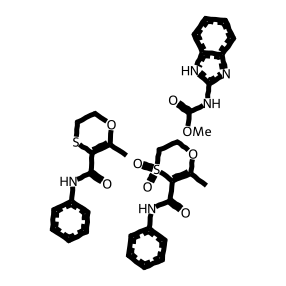 CC1=C(C(=O)Nc2ccccc2)S(=O)(=O)CCO1.CC1=C(C(=O)Nc2ccccc2)SCCO1.COC(=O)Nc1nc2ccccc2[nH]1